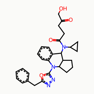 O=C(CO)CCC(=O)N(C1CC1)C1c2ccccc2N(c2nnc(Cc3ccccc3)o2)C2CCCC21